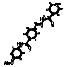 COc1ccc(NC(=O)c2ccc(C=NNC(=O)c3ccncc3)cc2)cc1